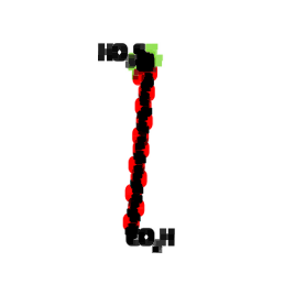 O=C(O)CCOCCOCCOCCOCCOCCOCCOCCOCCOCCOCCC(=O)Oc1c(F)c(F)c(S(=O)(=O)O)c(F)c1F